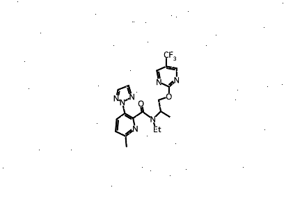 CCN(C(=O)c1nc(C)ccc1-n1nccn1)C(C)COc1ncc(C(F)(F)F)cn1